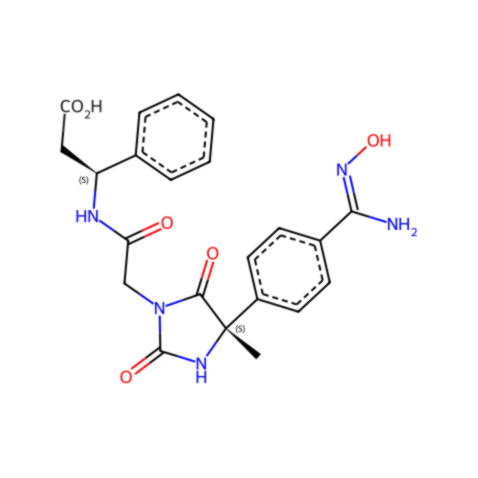 C[C@@]1(c2ccc(C(N)=NO)cc2)NC(=O)N(CC(=O)N[C@@H](CC(=O)O)c2ccccc2)C1=O